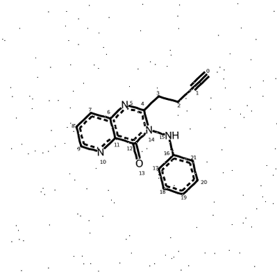 C#CCCc1nc2cccnc2c(=O)n1Nc1ccccc1